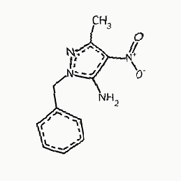 Cc1nn(Cc2ccccc2)c(N)c1[N+](=O)[O-]